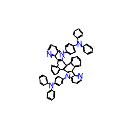 c1ccc(N(c2ccccc2)c2ccc(-n3c4cccnc4c4c5ccccc5c5c(c6ccccc6c6c7ncccc7n(-c7ccc(N(c8ccccc8)c8ccccc8)cc7)c65)c43)cc2)cc1